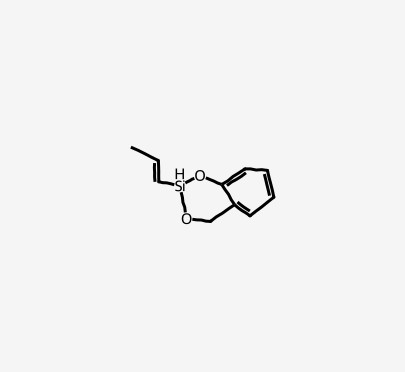 CC=C[SiH]1OCc2ccccc2O1